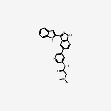 CN(C)CC(=O)Nc1cncc(-c2cnc3[nH]nc(-c4cc5ccccc5[nH]4)c3c2)c1